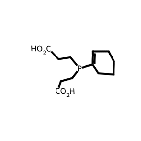 O=C(O)CCP(CCC(=O)O)C1=CCCCC1